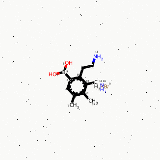 Br.Cc1cc(B(O)O)c(CCN)c(C)c1C.N